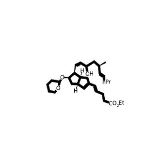 CCC/C=C/[C@H](C)CC(O)/C=C\[C@H]1[C@H]2CC(C=CCCC(=O)OCC)=C[C@H]2C[C@H]1OC1CCCCO1